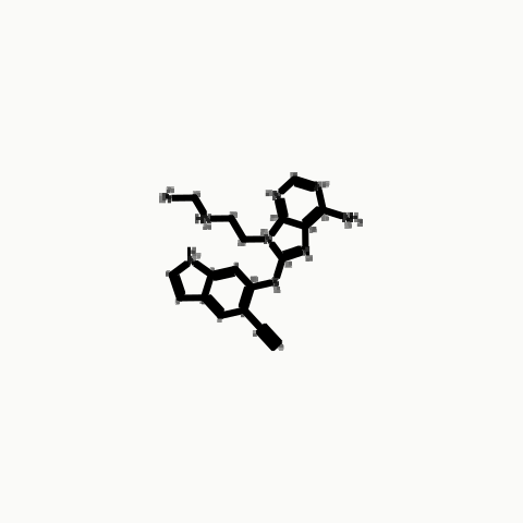 C#Cc1cc2cc[nH]c2cc1Sc1nc2c(N)ncnc2n1CCNCC(C)C